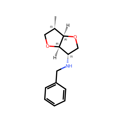 C[C@H]1CO[C@H]2[C@@H]1OC[C@@H]2NCc1ccccc1